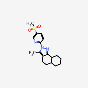 CS(=O)(=O)c1ccc(-n2nc3c(c2C(F)(F)F)CCC2CCCCC32)nc1